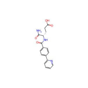 NC(=O)[C@H](CCC(=O)O)NC(=O)c1ccc(-c2ccccn2)cc1